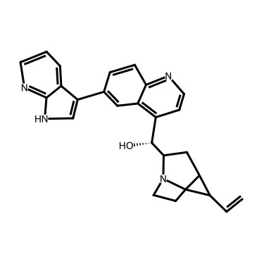 C=CC1C2CC([C@H](O)c3ccnc4ccc(-c5c[nH]c6ncccc56)cc34)N3CCC123